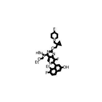 CCCCN(COCC)c1nc(OCC2(CN3CCC(F)CC3)CC2)nc2c(F)c(-c3cc(O)cc4ccc(F)c(CC)c34)ncc12